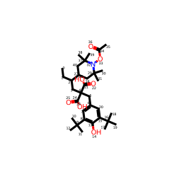 CCC(CC(Cc1cc(C(C)(C)C)c(O)c(C(C)(C)C)c1)(C(=O)O)C(=O)O)C1CC(C)(C)N(OC(C)=O)C(C)(C)C1